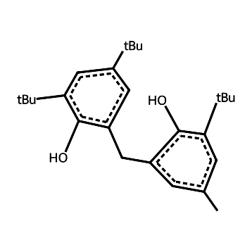 Cc1cc(Cc2cc(C(C)(C)C)cc(C(C)(C)C)c2O)c(O)c(C(C)(C)C)c1